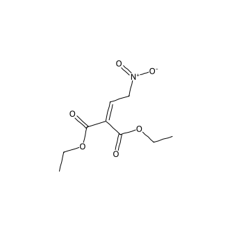 CCOC(=O)C(=CC[N+](=O)[O-])C(=O)OCC